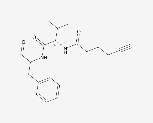 C#CCCCC(=O)N[C@H](C(=O)NC(C=O)Cc1ccccc1)C(C)C